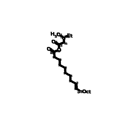 CCCCCCCCC=CCCCCCCCC(=O)OC(=O)CN(C)CC